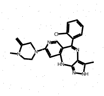 C=C1CN(c2cc3c(cn2)C(c2ccccc2Cl)=Nc2c(n[nH]c2C)N3)CCN1C